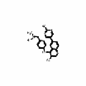 CC(=O)c1cnc2ccc(-c3cnc(C#N)nc3)cc2c1Nc1ccc(CN(C)C)cc1